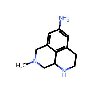 CN1Cc2cc(N)cc3c2C(C1)NCC3